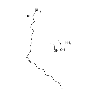 CCCCCCCC/C=C\CCCCCCCC(N)=O.CCO.CCO.N